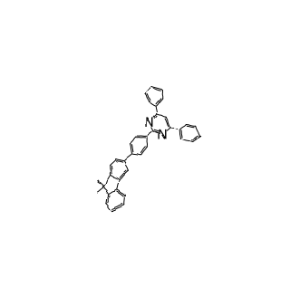 CC1(C)c2ccccc2-c2cc(-c3ccc(-c4nc(-c5ccccc5)cc(-c5ccccc5)n4)cc3)ccc21